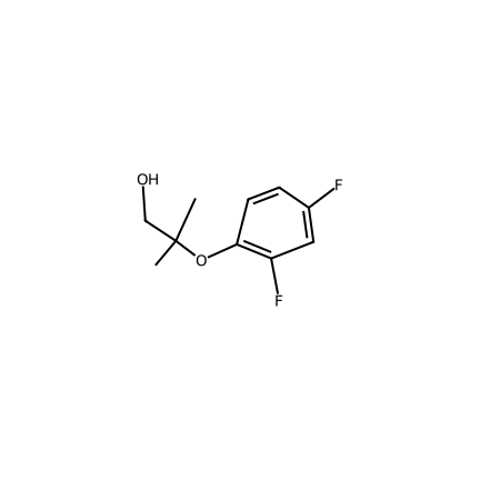 CC(C)(CO)Oc1ccc(F)cc1F